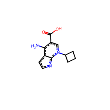 Nc1c(C(=O)O)cn(C2CCC2)c2nccc1-2